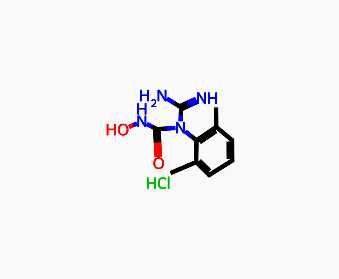 Cc1cccc(C)c1N(C(=N)N)C(=O)NO.Cl